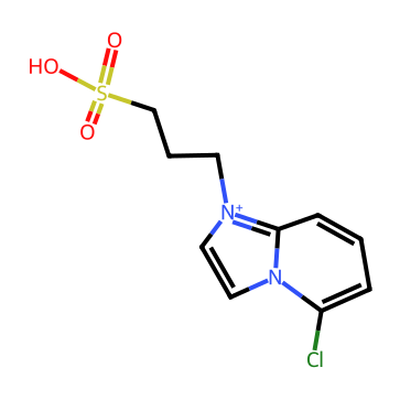 O=S(=O)(O)CCC[n+]1ccn2c(Cl)cccc21